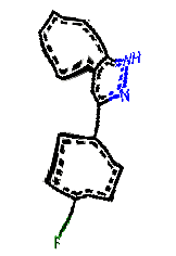 Fc1ccc(-c2n[nH]c3[c]cccc23)cc1